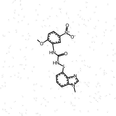 COc1ccc([N+](=O)[O-])cc1NC(=O)NSc1cccc2c1ncn2C